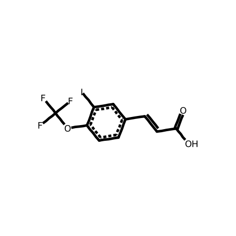 O=C(O)/C=C/c1ccc(OC(F)(F)F)c(I)c1